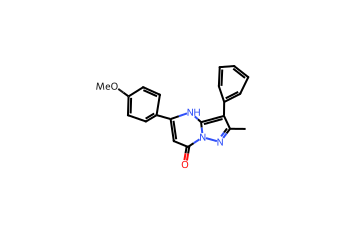 COc1ccc(-c2cc(=O)n3nc(C)c(-c4ccccc4)c3[nH]2)cc1